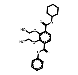 O=C(Oc1ccccc1)c1ccc(C(=O)OC2CCCCC2)c(OCO)c1OCO